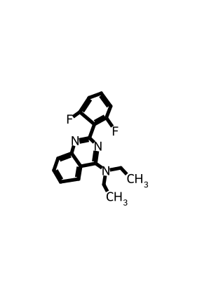 CCN(CC)c1nc(-c2c(F)cccc2F)nc2ccccc12